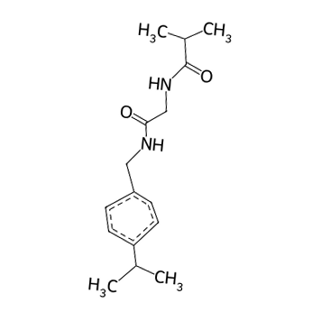 CC(C)C(=O)NCC(=O)NCc1ccc(C(C)C)cc1